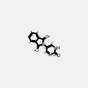 O=C1c2ccccc2C(=O)N1c1cnc(=O)[nH]c1